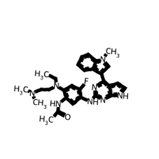 CCN(CCN(C)C)c1cc(F)c(Nc2nc(-c3cn(C)c4ccccc34)c3cc[nH]c3n2)cc1NC(C)=O